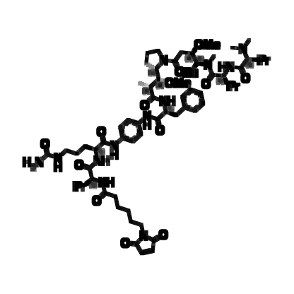 CC[C@H](C)[C@@H]([C@@H](CC(=O)N1CCC[C@H]1[C@H](OC)[C@@H](C)C(=O)N[C@@H](Cc1ccccc1)C(=O)Nc1ccc(NC(=O)[C@H](CCCNC(N)=O)NC(=O)[C@@H](NC(=O)CCCCCN2C(=O)C=CC2=O)C(C)C)cc1)OC)N(C)C(=O)[C@@H](NC(=O)[C@H](C(C)C)N(C)C)C(C)C